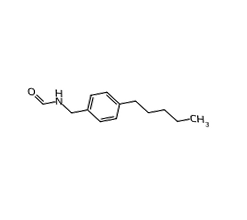 CCCCCc1ccc(CNC=O)cc1